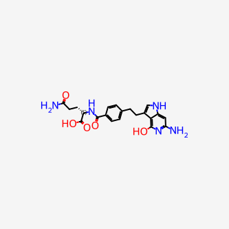 NC(=O)CC[C@H](NC(=O)c1ccc(CCc2c[nH]c3cc(N)nc(O)c23)cc1)C(=O)O